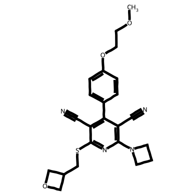 COCCOc1ccc(-c2c(C#N)c(SCC3COC3)nc(N3CCC3)c2C#N)cc1